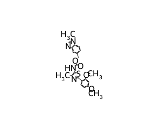 CCn1cnc2cc(COC(=O)Nc3sc(-c4ccc(OC)cc4OC)nc3C)ccc21